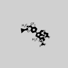 CN(C(=O)C1CC1)[C@@H](c1ccc([C@@H]2C[C@](C)(c3ccn(C(F)F)n3)c3c2cnc2cc(F)nn32)cc1)C(F)(F)F